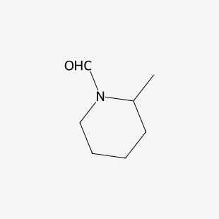 CC1CCCCN1C=O